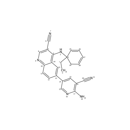 CCC1(Nc2c(C#N)cnc3ccc(-c4cnc(N)c(C#N)c4)cc23)C=CC=CC1